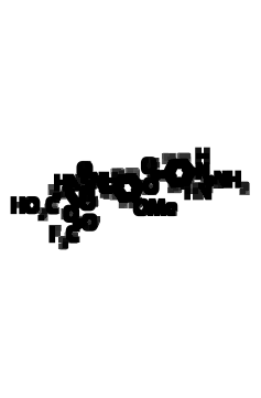 COc1cc(CNS(=O)(=O)N[C@@H](CC(=O)O)C(=O)OC(=O)C(F)(F)F)ccc1OC(=O)c1ccc(NC(=N)N)cc1